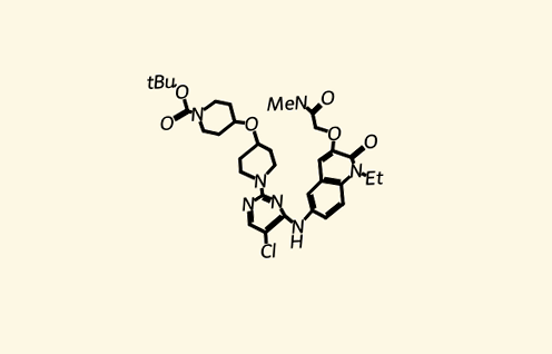 CCn1c(=O)c(OCC(=O)NC)cc2cc(Nc3nc(N4CCC(OC5CCN(C(=O)OC(C)(C)C)CC5)CC4)ncc3Cl)ccc21